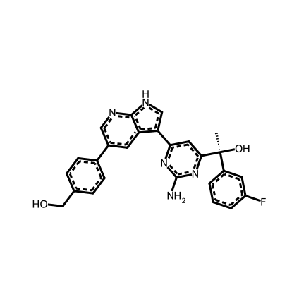 C[C@](O)(c1cccc(F)c1)c1cc(-c2c[nH]c3ncc(-c4ccc(CO)cc4)cc23)nc(N)n1